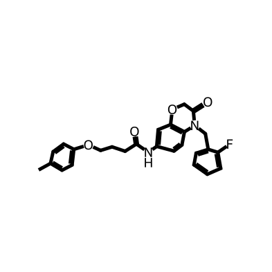 Cc1ccc(OCCCC(=O)Nc2ccc3c(c2)OCC(=O)N3Cc2ccccc2F)cc1